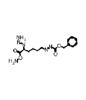 NN=NC(CCCCN=NC(=O)OCc1ccccc1)C(=O)ON